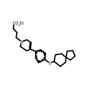 CCOC(=O)CCCN1CC=C(c2ccc(OC3CCC4(CCCC4)CC3)cc2)CC1